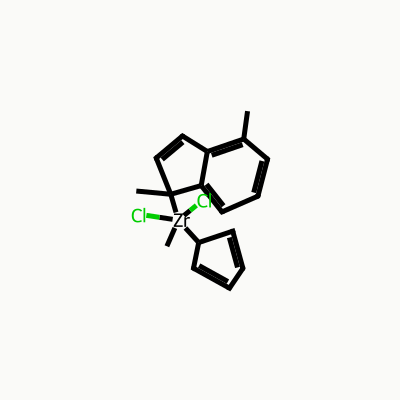 Cc1cccc2c1C=C[C]2(C)[Zr]([CH3])([Cl])([Cl])[CH]1C=CC=C1